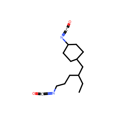 CCC(CCCN=C=O)CC1CCC(N=C=O)CC1